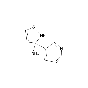 NC1(c2cccnc2)C=CSN1